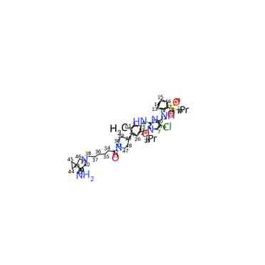 Cc1cc(Nc2ncc(Cl)c(Nc3ccccc3S(=O)(=O)C(C)C)n2)c(OC(C)C)cc1C1CCN(C(=O)CCCCCN2C[C@H](N)C3(CC3)C2)CC1